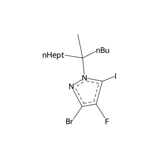 CCCCCCCC(C)(CCCC)n1nc(Br)c(F)c1I